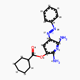 Nc1nc(N)c(OC(=O)C2CCCCC2)cc1/N=N/c1ccccc1